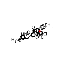 COc1ccc2c(c1)CCN(C1CC[N@+](Cc3ccc(Cl)c(Cl)c3)(C(=O)[O-])C(CC=O)(N3CCC(N4CCN(C)CC4)CC3)C1)C(=O)N2